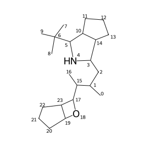 CC(CC1NC(C(C)(C)C)C2CCCC12)C(C)C1OC2CCCC21